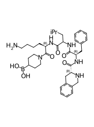 CC(C)CC(NC(=O)[C@@H](Cc1ccccc1)NC(=O)[C@H]1Cc2ccccc2CN1)C(=O)N[C@H](CCCCN)C(=O)N1CCC(B(O)O)CC1